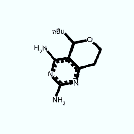 CCCCC1OCCc2nc(N)nc(N)c21